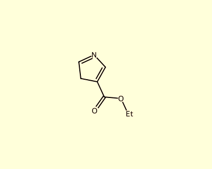 CCOC(=O)C1=CN=CC1